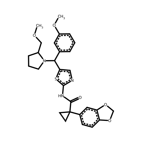 COCC1CCCN1C(c1cccc(OC)c1)c1cnc(NC(=O)C2(c3ccc4c(c3)OCO4)CC2)s1